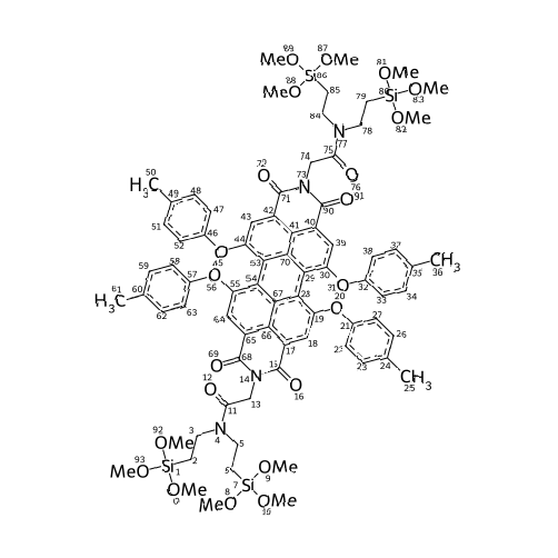 CO[Si](CCN(CC[Si](OC)(OC)OC)C(=O)CN1C(=O)c2cc(Oc3ccc(C)cc3)c3c4c(Oc5ccc(C)cc5)cc5c6c(cc(Oc7ccc(C)cc7)c(c7c(Oc8ccc(C)cc8)cc(c2c37)C1=O)c64)C(=O)N(CC(=O)N(CC[Si](OC)(OC)OC)CC[Si](OC)(OC)OC)C5=O)(OC)OC